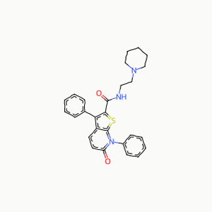 O=C(NCCN1CCCCC1)c1sc2c(ccc(=O)n2-c2ccccc2)c1-c1ccccc1